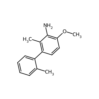 COc1ccc(-c2ccccc2C)c(C)c1N